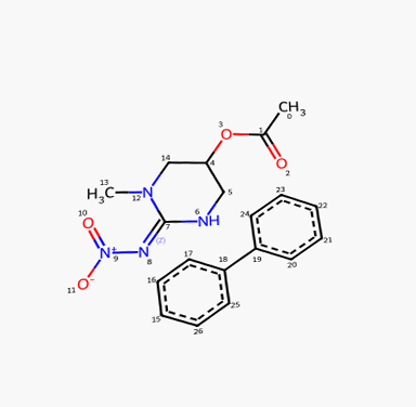 CC(=O)OC1CN/C(=N/[N+](=O)[O-])N(C)C1.c1ccc(-c2ccccc2)cc1